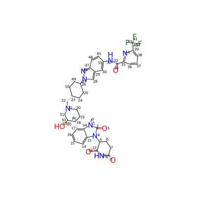 Cn1c(=O)n(C2CCC(=O)NC2=O)c2cccc([C@H]3CCN(C[C@H]4CC[C@H](n5cc6cc(NC(=O)c7cccc(C(F)(F)F)n7)ccc6n5)CC4)C[C@@H]3O)c21